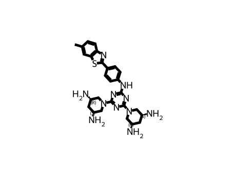 Cc1ccc2nc(-c3ccc(Nc4nc(N5C[C@H](N)C[C@H](N)C5)nc(N5C[C@H](N)C[C@H](N)C5)n4)cc3)sc2c1